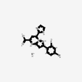 O=C([O-])c1cc(-c2nccs2)n2nc(-c3ccc(Br)cc3F)cc2n1.[K+]